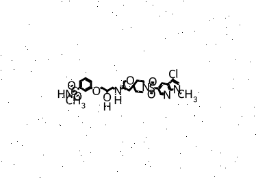 CNS(=O)(=O)c1cccc(OCC(O)CN[C@H]2COC3(CCN(S(=O)(=O)c4cnc5c(c4)c(Cl)cn5C)CC3)C2)c1